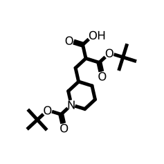 CC(C)(C)OC(=O)C(CC1CCCN(C(=O)OC(C)(C)C)C1)C(=O)O